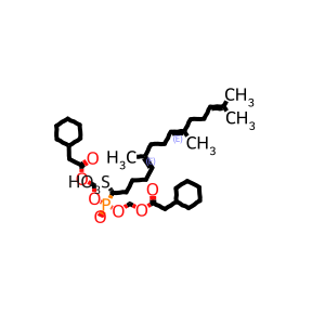 CC(C)=CCC/C(C)=C/CC/C(C)=C/CCCC(P(=O)(OCOC(=O)CC1CCCCC1)OCOC(=O)CC1CCCCC1)S(=O)(=O)O